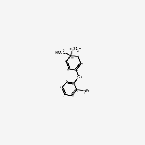 CCCc1ccccc1OC1=CCC(C(=O)O)(C(=O)O)C=C1